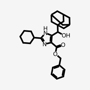 O=C(OCc1ccccc1)c1nc(C2CCCCC2)[nH]c1C(O)C12CC3CC(CC(C3)C1)C2